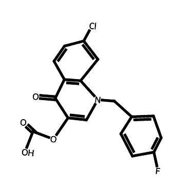 O=C(O)Oc1cn(Cc2ccc(F)cc2)c2cc(Cl)ccc2c1=O